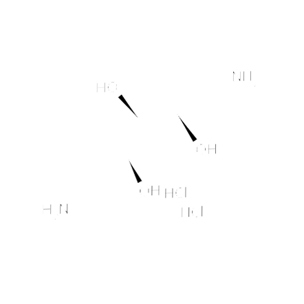 Cl.Cl.NC[C@@H](O)[C@H](O)[C@@H](O)CN